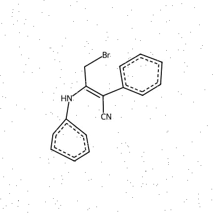 N#CC(=C(CBr)Nc1ccccc1)c1ccccc1